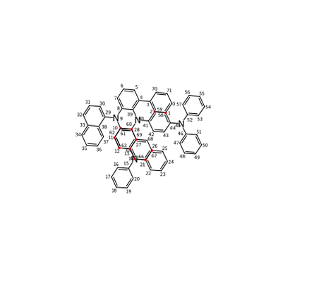 c1ccc(-c2cccc(N(c3ccc(N(c4ccccc4)c4ccccc4)cc3)c3cccc4ccccc34)c2N(c2ccc(N(c3ccccc3)c3ccccc3)cc2)c2cccc3ccccc23)cc1